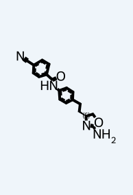 N#Cc1ccc(C(=O)Nc2ccc(CC[C@H]3COC(N)=N3)cc2)cc1